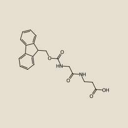 O=C(O)CCNC(=O)CNC(=O)OCC1c2ccccc2-c2ccccc21